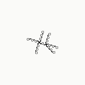 ClCOCOCC(COCOCCl)(COCOCCl)COCC(COCOCCl)(COCOCCl)COCOCCl